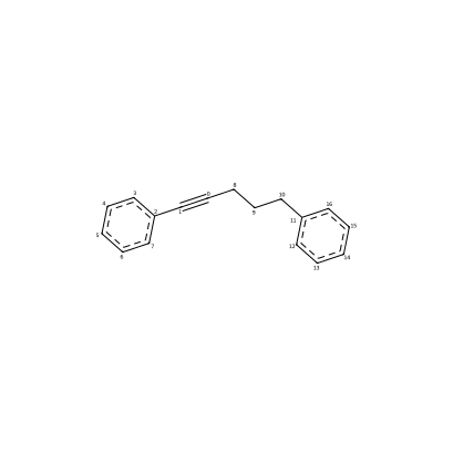 C(#Cc1ccccc1)CCCc1ccccc1